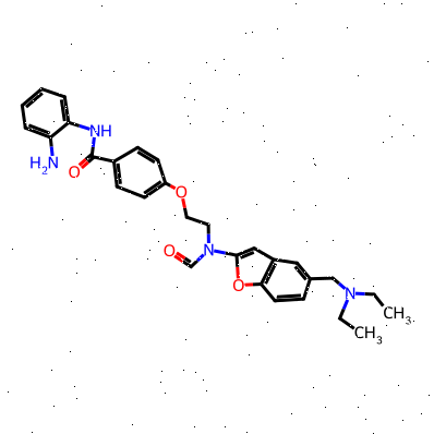 CCN(CC)Cc1ccc2oc(N(C=O)CCOc3ccc(C(=O)Nc4ccccc4N)cc3)cc2c1